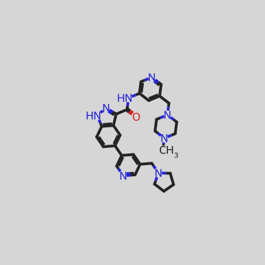 CN1CCN(Cc2cncc(NC(=O)c3n[nH]c4ccc(-c5cncc(CN6CCCC6)c5)cc34)c2)CC1